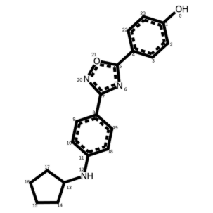 Oc1ccc(-c2nc(-c3ccc(NC4CCCC4)cc3)no2)cc1